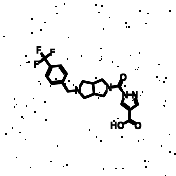 O=C(O)c1cnn(C(=O)N2CC3CN(Cc4ccc(C(F)(F)F)cc4)CC3C2)c1